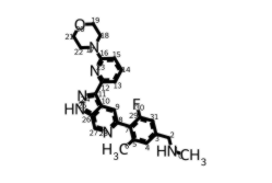 CNCc1cc(C)c(-c2cc3c(-c4cccc(N5CCOCC5)n4)n[nH]c3cn2)c(F)c1